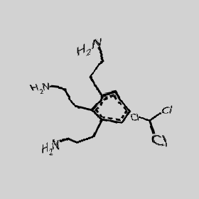 ClC(Cl)Cl.NCCc1cccc(CCN)c1CCN